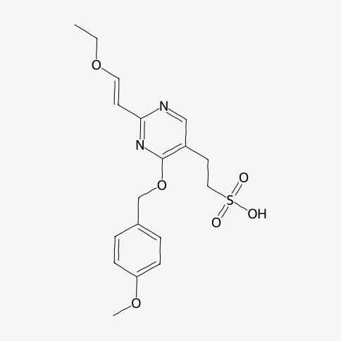 CCOC=Cc1ncc(CCS(=O)(=O)O)c(OCc2ccc(OC)cc2)n1